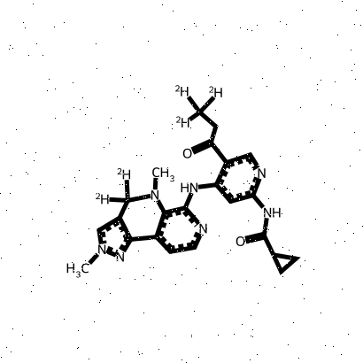 [2H]C([2H])([2H])CC(=O)c1cnc(NC(=O)C2CC2)cc1Nc1nccc2c1N(C)C([2H])([2H])c1cn(C)nc1-2